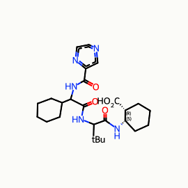 CC(C)(C)C(NC(=O)C(NC(=O)c1cnccn1)C1CCCCC1)C(=O)N[C@H]1CCCC[C@H]1C(=O)O